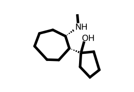 CN[C@H]1CCCCC[C@H]1C1(O)CCCC1